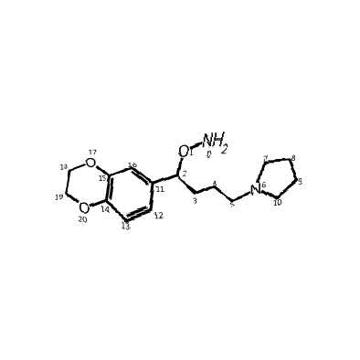 NO[C@@H](CCCN1CCCC1)c1ccc2c(c1)OCCO2